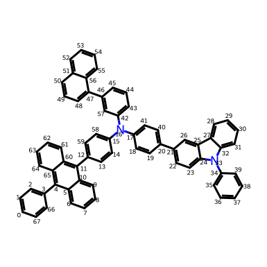 c1ccc(-c2c3ccccc3c(-c3ccc(N(c4ccc(-c5ccc6c(c5)c5ccccc5n6-c5ccccc5)cc4)c4cccc(-c5cccc6ccccc56)c4)cc3)c3ccccc23)cc1